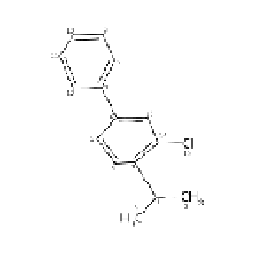 CC(C)c1ccc(-c2ccccc2)cc1Cl